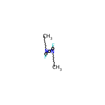 CCCCCCCCCCCCn1c2ccc(F)cc2c2cc3c(cc21)c1cc(F)ccc1n3CCCCCCCCCCCC